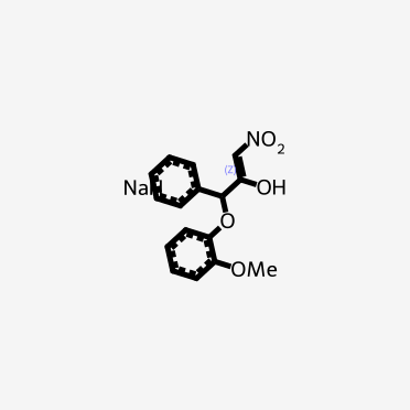 COc1ccccc1OC(/C(O)=C/[N+](=O)[O-])c1ccccc1.[NaH]